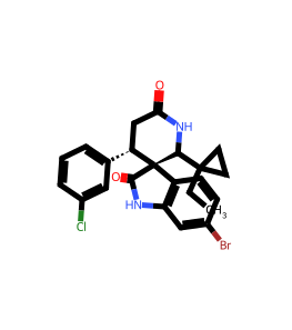 CCC1(C2NC(=O)C[C@@H](c3cccc(Cl)c3)[C@]23C(=O)Nc2cc(Br)ccc23)CC1